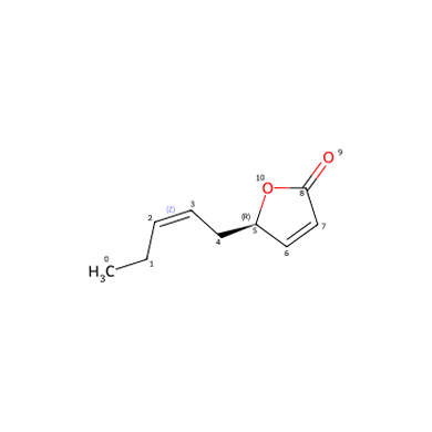 CC/C=C\C[C@@H]1C=CC(=O)O1